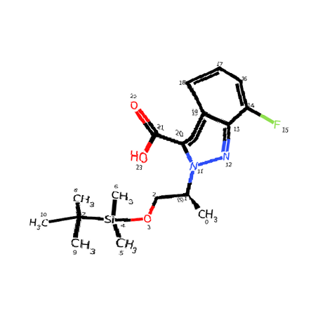 C[C@@H](CO[Si](C)(C)C(C)(C)C)n1nc2c(F)cccc2c1C(=O)O